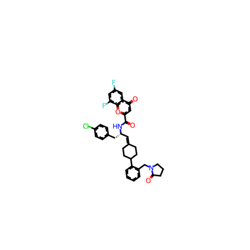 O=C(N[C@H](C=C1CCC(c2ccccc2CN2CCCC2=O)CC1)Cc1ccc(Cl)cc1)c1cc(=O)c2cc(F)cc(F)c2o1